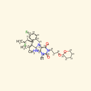 C=C(F)/C=C\C(=C(C)C)C1Nc2c(c(=O)n(CCCOC3CCCCO3)c(=O)n2CC)N1Cc1ccc(F)cc1